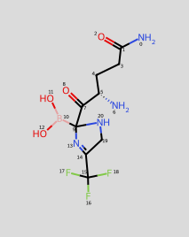 NC(=O)CC[C@H](N)C(=O)C1(B(O)O)N=C(C(F)(F)F)CN1